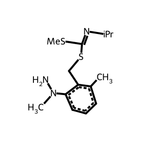 CS/C(=N/C(C)C)SCc1c(C)cccc1N(C)N